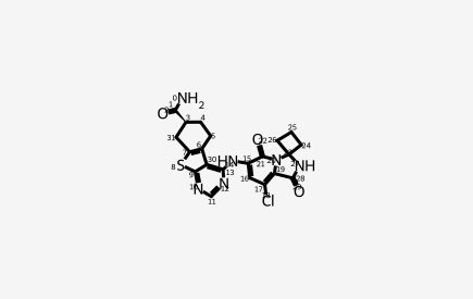 NC(=O)[C@H]1CCc2c(sc3ncnc(Nc4cc(Cl)c5n(c4=O)C4(CCC4)NC5=O)c23)C1